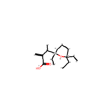 C=C(C(=O)O)C(C)[Si]1(CC)CCCC(CC)(CC)O1